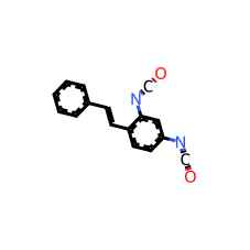 O=C=Nc1ccc(C=Cc2ccccc2)c(N=C=O)c1